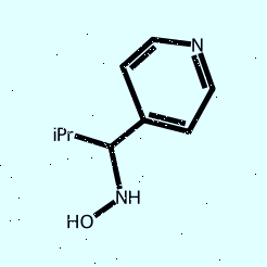 CC(C)C(NO)c1ccncc1